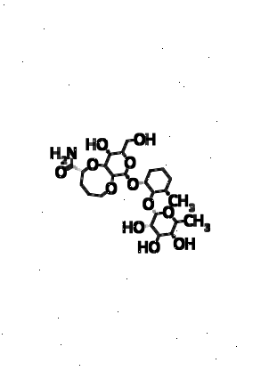 CC1O[C@@H](OC2[C@H](C)CCC[C@H]2O[C@@H]2OC(CO)[C@H](O)C3O[C@@H](C(N)=O)CCCOC32)[C@@H](O)C(O)[C@@H]1O